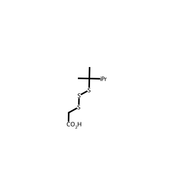 CC(C)C(C)(C)SSSCC(=O)O